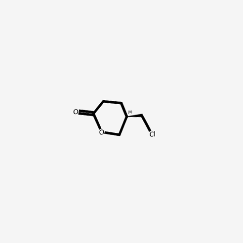 O=C1CC[C@@H](CCl)CO1